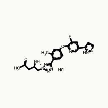 Cc1cc(Oc2ncc(-c3ccn[nH]3)cc2F)ccc1-c1nnn(CC(N)CC(=O)O)n1.Cl